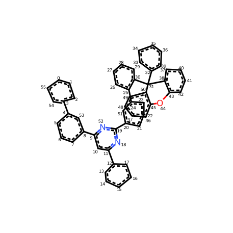 c1ccc(-c2cccc(-c3cc(-c4ccccc4)nc(-c4cccc(-c5ccccc5C5(c6ccccc6)c6ccccc6Oc6ccccc65)c4)n3)c2)cc1